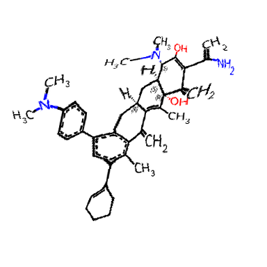 C=C(N)C1=C(O)[C@@H](N(C)C)[C@@H]2C[C@@H]3Cc4c(-c5ccc(N(C)C)cc5)cc(C5=CCCCC5)c(C)c4C(=C)C3=C(C)[C@]2(O)C1=C